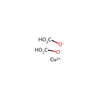 O=C([O-])O.O=C([O-])O.[Cu+2]